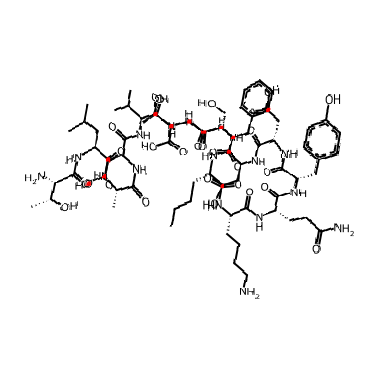 CCCC[C@H](NC(=O)[C@H](Cc1ccccc1)NC(=O)CNC(=O)[C@@H](NC(=O)[C@H](CC(=O)O)NC(=O)[C@H](C)NC(=O)[C@H](CC(C)C)NC(=O)[C@@H](N)[C@@H](C)O)C(C)C)C(=O)N[C@@H](CCCCN)C(=O)N[C@@H](CCC(N)=O)C(=O)N[C@@H](Cc1ccc(O)cc1)C(=O)N[C@@H](CC(=O)O)C(=O)N[C@@H](CC(=O)O)C(=O)N[C@@H](CO)C(=O)N[C@H](C(=O)O)[C@@H](C)O